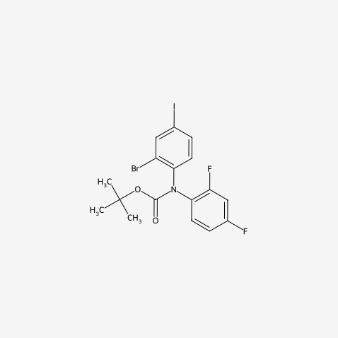 CC(C)(C)OC(=O)N(c1ccc(F)cc1F)c1ccc(I)cc1Br